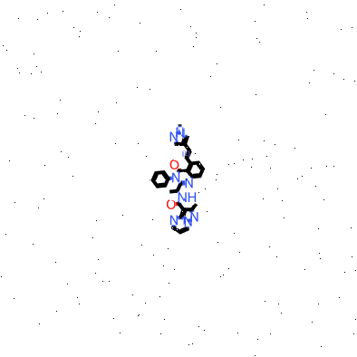 Cc1nn2cccnc2c1C(=O)NC(C)c1nc2cccc(/C=C/c3cnn(C)c3)c2c(=O)n1-c1ccccc1